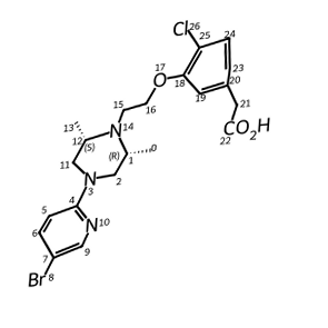 C[C@@H]1CN(c2ccc(Br)cn2)C[C@H](C)N1CCOc1cc(CC(=O)O)ccc1Cl